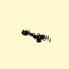 CC1(C)CC(c2ncccc2[C@@H](C(=O)O)N2CC[C@@H](OCCCCc3ccc4c(n3)NCCC4)C2)CCO1